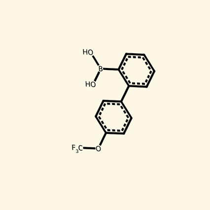 OB(O)c1ccccc1-c1ccc(OC(F)(F)F)cc1